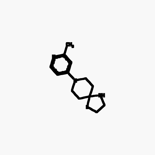 Cc1cc(N2CCC3(CC2)NCCS3)ccn1